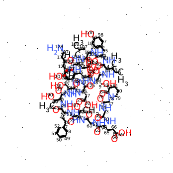 CC[C@H](C)[C@H](NC(=O)[C@H](CO)NC(=O)[C@H](Cc1ccc(O)cc1)NC(=O)[C@H](CC(=O)O)NC(=O)[C@H](CO)NC(=O)[C@@H](NC(=O)[C@H](CCc1ccccc1)NC(=O)[C@@H](NC(=O)CNC(=O)[C@H](CCC(=O)O)NC(=O)CNC(=O)CN1CCCCC1=O)[C@@H](C)O)[C@@H](C)O)C(=O)N[C@@H](Cc1ccc(O)cc1)C(=O)N[C@@H](CC(C)C)C(=O)N[C@@H](CC(=O)O)C(=O)N[C@H](C)CCCCN